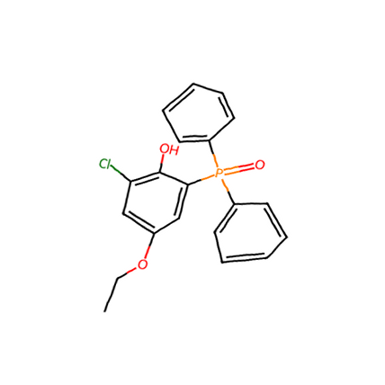 CCOc1cc(Cl)c(O)c(P(=O)(c2ccccc2)c2ccccc2)c1